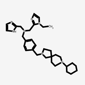 CCn1ccnc1CN(Cc1ccc(CN2CCC3(CCN(C4CCCCC4)CC3)C2)cc1)Cc1ncc[nH]1